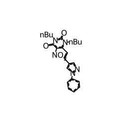 CCCCn1c(C=Cc2cnn(-c3ccccc3)c2)c([N+](=O)[O-])c(=O)n(CCCC)c1=O